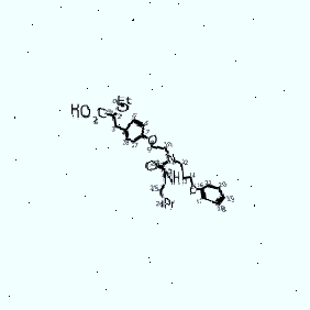 CCOC(Cc1ccc(OCCN(CCCOc2ccccc2)C(=O)NCC(C)C)cc1)C(=O)O